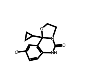 O=C1Nc2ccc(Cl)cc2C2(C3CC3)OCCN12